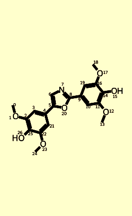 COc1cc(-c2cnc(-c3cc(OC)c(O)c(OC)c3)o2)cc(OC)c1O